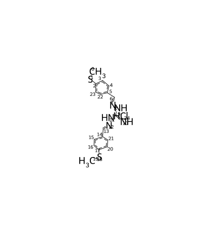 CSc1ccc(C=NNC(=N)NN=Cc2ccc(SC)cc2)cc1.Cl